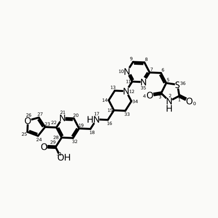 O=C1NC(=O)/C(=C\c2ccnc(N3CCC(CNCc4cnc(-c5ccoc5)c(C(=O)O)c4)CC3)n2)S1